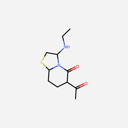 CCNC1CSC2CCC(C(C)=O)C(=O)N12